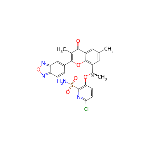 Cc1cc([C@@H](C)Oc2ccc(Cl)nc2S(N)(=O)=O)c2oc(-c3ccc4nonc4c3)c(C)c(=O)c2c1